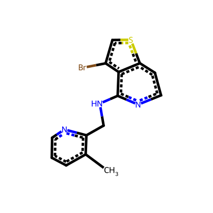 Cc1cccnc1CNc1nccc2scc(Br)c12